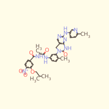 Cc1ccc(Nc2ncc3c(n2)NC(=O)N(c2cc(NC(=O)[C@H](C)NC(=O)c4ccc([N+](=O)[O-])c(OCC(C)C)c4)ccc2C)C3)cn1